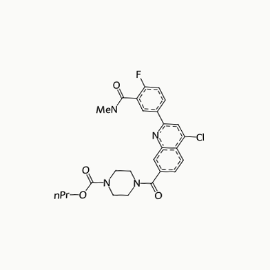 CCCOC(=O)N1CCN(C(=O)c2ccc3c(Cl)cc(-c4ccc(F)c(C(=O)NC)c4)nc3c2)CC1